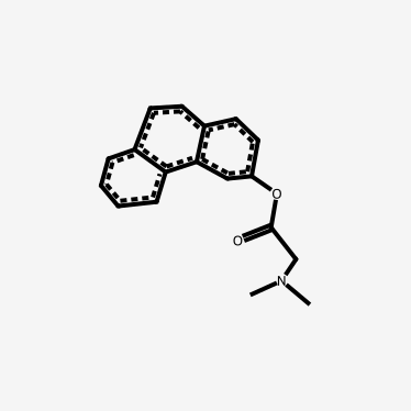 CN(C)CC(=O)Oc1ccc2ccc3ccccc3c2c1